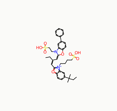 CCC(=Cc1oc2ccc(C(C)(C)CC)cc2[n+]1CCCCS(=O)(=O)O)C=C1Oc2ccc(-c3ccccc3)cc2N1CCS(=O)(=O)O